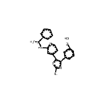 CCc1nc(-c2cccc(Cl)c2)c(-c2ccnc(N[C@@H](C)c3ccccc3)c2)s1.Cl